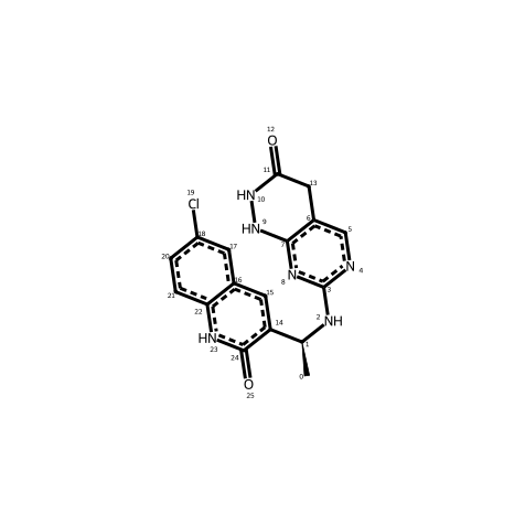 C[C@H](Nc1ncc2c(n1)NNC(=O)C2)c1cc2cc(Cl)ccc2[nH]c1=O